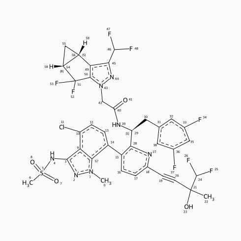 Cn1nc(NS(C)(=O)=O)c2c(Cl)ccc(-c3ccc(C#CC(C)(O)C(F)F)nc3[C@H](Cc3cc(F)cc(F)c3)NC(=O)Cn3nc(C(F)F)c4c3C(F)(F)[C@@H]3C[C@H]43)c21